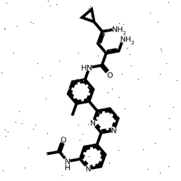 CC(=O)Nc1cc(-c2nccc(-c3cc(NC(=O)C(/C=C(\N)C4CC4)=C/N)ccc3C)n2)ccn1